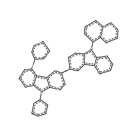 c1ccc(-c2cccc3c2c2cc(-c4ccc5c(c4)c4ccccc4n5-c4cccc5ccccc45)ccc2n3-c2ccccc2)cc1